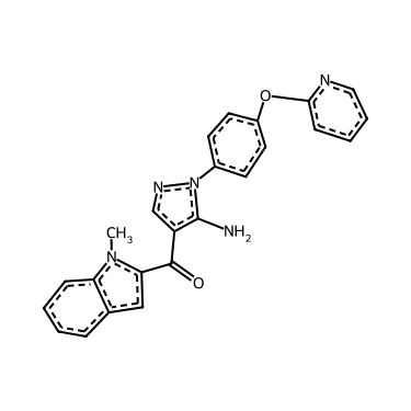 Cn1c(C(=O)c2cnn(-c3ccc(Oc4ccccn4)cc3)c2N)cc2ccccc21